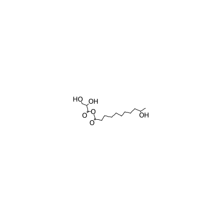 CC(O)CCCCCCCCC(=O)OC(=O)C(O)CO